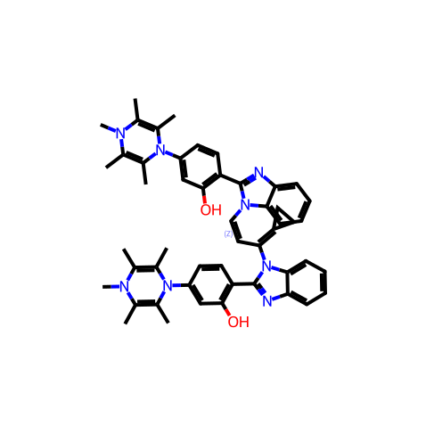 CC1=C(C)N(c2ccc(-c3nc4ccccc4n3/C=C\C(=C3CC3)n3c(-c4ccc(N5C(C)=C(C)N(C)C(C)=C5C)cc4O)nc4ccccc43)c(O)c2)C(C)=C(C)N1C